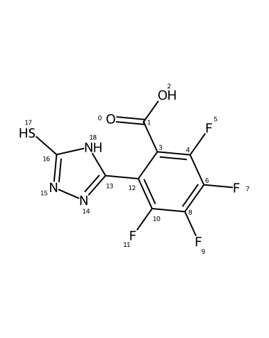 O=C(O)c1c(F)c(F)c(F)c(F)c1-c1nnc(S)[nH]1